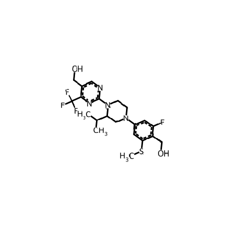 CSc1cc(N2CCN(c3ncc(CO)c(C(F)(F)F)n3)C(C(C)C)C2)cc(F)c1CO